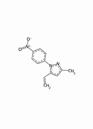 C=Cc1cc(C)nn1-c1ccc([N+](=O)[O-])cc1